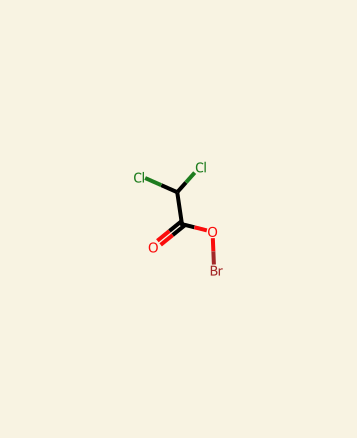 O=C(OBr)C(Cl)Cl